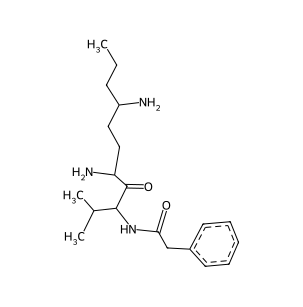 CCCC(N)CCC(N)C(=O)C(NC(=O)Cc1ccccc1)C(C)C